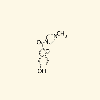 CN1CCN(C(=O)c2cc3cc(O)ccc3o2)CC1